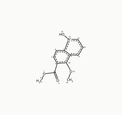 COC(=O)c1ccc2c(ccc[n+]2O)c1OC